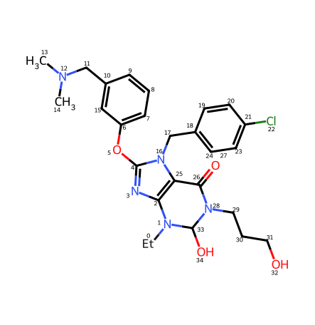 CCN1c2nc(Oc3cccc(CN(C)C)c3)n(Cc3ccc(Cl)cc3)c2C(=O)N(CCCO)C1O